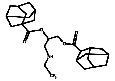 O=C(OCC(CNCC(F)(F)F)OC(=O)C12CC3CC(CC(C3)C1)C2)C1C2CC3CC(C2)CC1C3